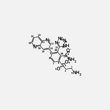 NCCS(=O)(=O)c1ccc(-c2cnc3cccnc3c2)c(-c2nnn[nH]2)c1[S+](N)[O-]